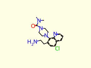 CN(C)C(=O)N1CCN(c2c(CCN)cc(Cl)c3cccnc23)CC1